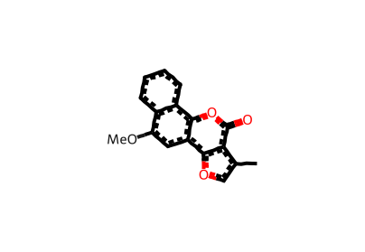 COc1cc2c3occ(C)c3c(=O)oc2c2ccccc12